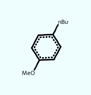 CCC[CH]c1ccc(OC)cc1